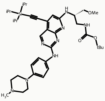 COC[C@H](CNC(=O)OC(C)(C)C)Nc1cc(C#C[Si](C(C)C)(C(C)C)C(C)C)c2cnc(Nc3ccc(N4CCN(C)CC4)cc3)nc2n1